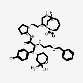 CC1(C)CC([C@H](c2ccc(Cl)cc2)[C@H](NCCOCc2ccccc2)C(=O)N[C@H]2CCC[C@@H]2CC[C@H]2CN[C@@H]3CCCS(=O)(=O)N2C3)CCO1